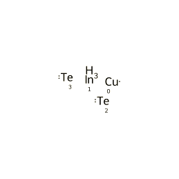 [Cu].[InH3].[Te].[Te]